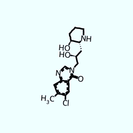 Cc1cc2ncn(C[C@@H](O)C[C@H]3NCCC[C@@H]3O)c(=O)c2cc1Cl